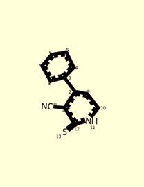 N#Cc1c(-c2ccccc2)cc[nH]c1=S